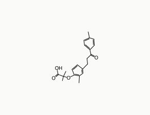 Cc1ccc(C(=O)CCc2ccc(OC(C)(C)C(=O)O)c(C)c2)cc1